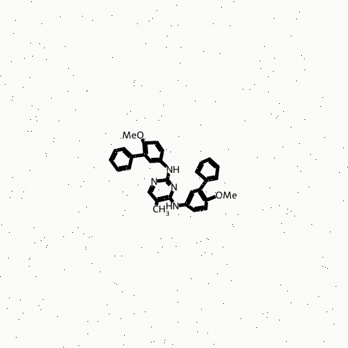 COc1ccc(Nc2ncc(C)c(Nc3ccc(OC)c(-c4ccccc4)c3)n2)cc1-c1ccccc1